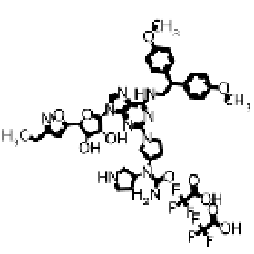 CCc1cc([C@H]2O[C@@H](n3cnc4c(NCC(c5ccc(OC)cc5)c5ccc(OC)cc5)nc(N5CC[C@@H](N(C(N)=O)[C@@H]6CCNC6)C5)nc43)[C@H](O)[C@@H]2O)on1.O=C(O)C(F)(F)F.O=C(O)C(F)(F)F